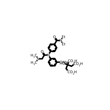 CCN(CC)C(=O)c1ccc(N(C(=O)CN(C)C)c2cccc(OC)c2)cc1.O=C(O)CC(O)(CC(=O)O)C(=O)O